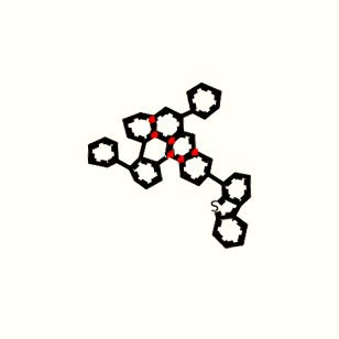 c1ccc(-c2cccc(N(c3ccc(-c4cccc5c4sc4ccccc45)cc3)c3cccc(-c4ccccc4)c3-c3ccccc3-c3ccccc3)c2)cc1